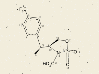 C[C@@H](c1ccc(C(F)(F)F)nc1)[C@H]1COS(=O)(=O)N1C(=O)O